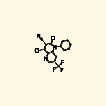 N#Cc1c(Cl)c2ncc(C(F)(F)F)cc2n(-c2ccccc2)c1=O